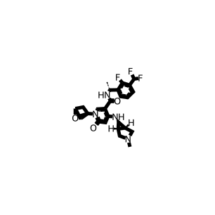 C[C@@H](NC(=O)c1cn(C23COC(C2)C3)c(=O)cc1N[C@H]1[C@@H]2CN(C)C[C@@H]21)c1cccc(C(F)F)c1F